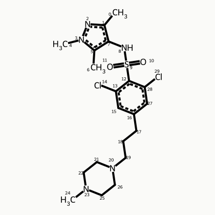 Cc1nn(C)c(C)c1NS(=O)(=O)c1c(Cl)cc(CCCN2CCN(C)CC2)cc1Cl